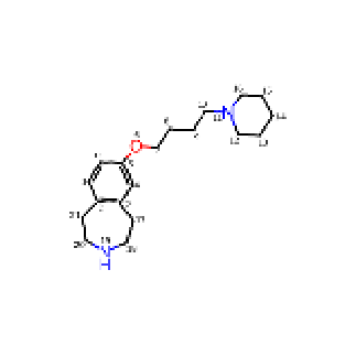 c1cc2c(cc1OCCCCN1CCCCC1)CCNCC2